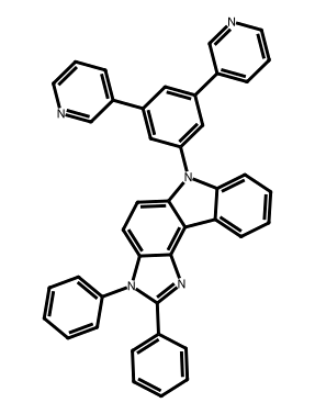 c1ccc(-c2nc3c4c5ccccc5n(-c5cc(-c6cccnc6)cc(-c6cccnc6)c5)c4ccc3n2-c2ccccc2)cc1